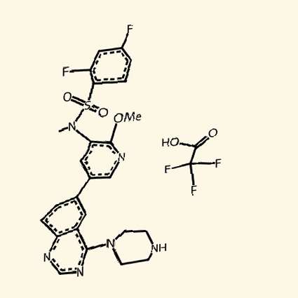 COc1ncc(-c2ccc3ncnc(N4CCNCC4)c3c2)cc1N(C)S(=O)(=O)c1ccc(F)cc1F.O=C(O)C(F)(F)F